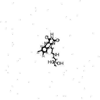 C=P(O)(O)CCNCCn1c2nc(=O)[nH]c(=O)c-2nc2cc(C)c(C)cc21